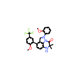 COc1ccc(C(F)(F)F)cc1-c1ccc2c3c1CN(c1ccccc1OC)N3C(=O)C(C)(C)N2